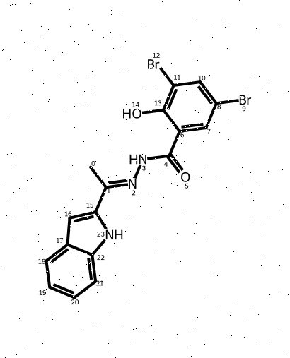 C/C(=N\NC(=O)c1cc(Br)cc(Br)c1O)c1cc2ccccc2[nH]1